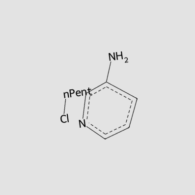 CCCCCCl.Nc1cccnc1